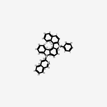 c1ccc(-n2c3ccc4ccccc4c3c3c4c5ccccc5n(-c5cc6ccccc6cn5)c4ccc32)cc1